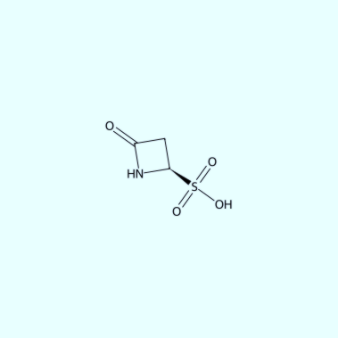 O=C1C[C@@H](S(=O)(=O)O)N1